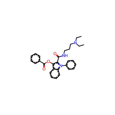 CCN(CC)CCCNC(=O)c1c(OC(=O)c2ccccc2)c2ccccc2n1-c1ccccc1